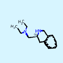 CCN(CC)C[C@@H]1Cc2ccccc2CN1